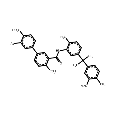 CNc1cc(C(c2ccc(C)c(NC(=O)c3cc(-c4ccc(C(=O)O)c(C(C)=O)c4)ccc3C(=O)O)c2)(C(F)(F)F)C(F)(F)F)ccc1C